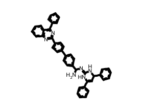 NC(/N=C1\NC(c2ccccc2)=CC(c2ccccc2)N1)c1ccc(-c2ccc(-c3nc(-c4ccccc4)c4ccccc4n3)cc2)cc1